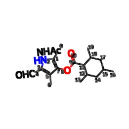 CC(=O)Nc1[nH]c(C=O)c(C)c1OC(=O)C1C(C)CC(C)CC1C